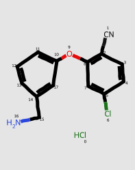 Cl.N#Cc1ccc(Cl)cc1Oc1cccc(CN)c1